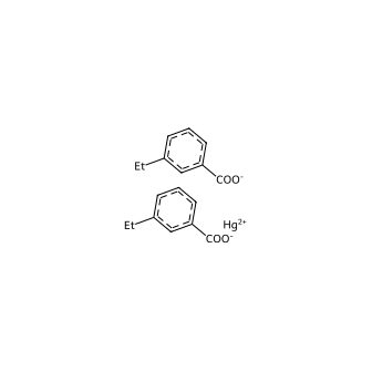 CCc1cccc(C(=O)[O-])c1.CCc1cccc(C(=O)[O-])c1.[Hg+2]